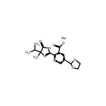 CC(C)C1(C)N=C(c2ncc(C3OCCO3)cc2C(=O)[O-])NC1=O.[Na+]